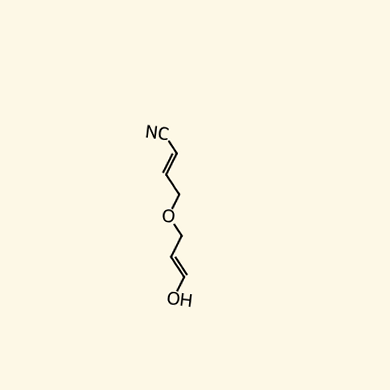 N#CC=CCOCC=CO